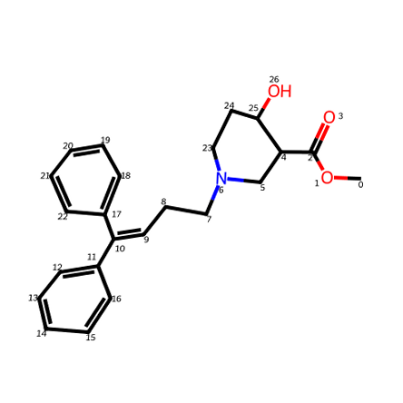 COC(=O)C1CN(CCC=C(c2ccccc2)c2ccccc2)CCC1O